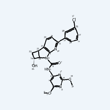 COc1cc(NC(=O)N2c3nc(-c4cccc(Cl)c4)ccc3C3C[C@@H](O)C32)nc(OC)n1